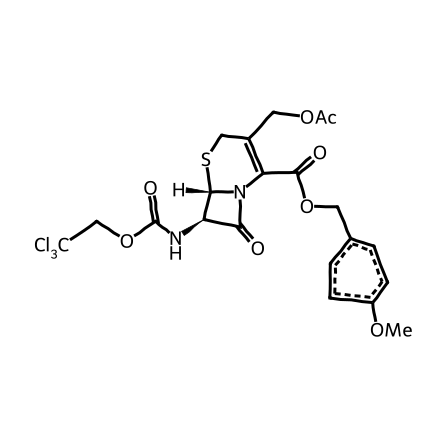 COc1ccc(COC(=O)C2=C(COC(C)=O)CS[C@H]3[C@H](NC(=O)OCC(Cl)(Cl)Cl)C(=O)N23)cc1